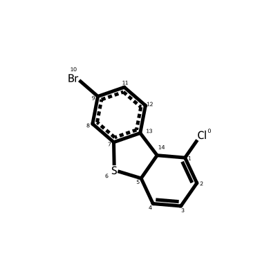 ClC1=CC=CC2Sc3cc(Br)ccc3C12